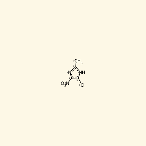 Cc1nc([N+](=O)[O-])c(Cl)[nH]1